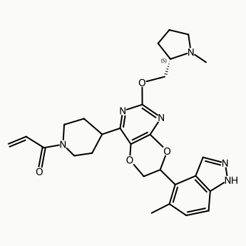 C=CC(=O)N1CCC(c2nc(OC[C@@H]3CCCN3C)nc3c2OCC(c2c(C)ccc4[nH]ncc24)O3)CC1